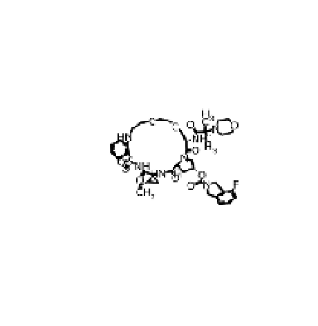 C=C[C@@H]1C[C@@]12NC(=O)[C@@H]1C[C@@H](OC(=O)N3Cc4cccc(F)c4C3)CN1C(=O)[C@@H](NC(=O)C(C)(C)N1CCOCC1)CCCCCCCNc1ccccc1S(=O)(=O)NC2=O